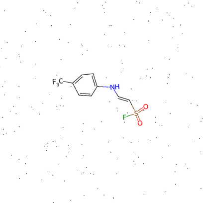 O=S(=O)(F)/C=C/Nc1ccc(C(F)(F)F)cc1